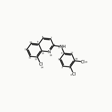 Clc1ccc(Nc2ccc3cccc(Cl)c3n2)cc1Cl